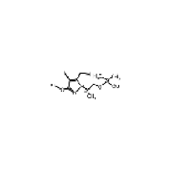 CCOc1nn([C@@H](C)CO[Si](C)(C)C(C)(C)C)c(CI)c1I